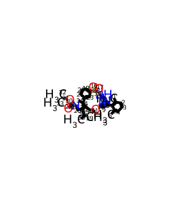 Cc1cccc(C)c1-c1cc2nc(n1)NS(=O)(=O)c1cccc(c1)C1(CCN(C(=O)OC(C)C)C1)[C@H](CC(C)C)CO2